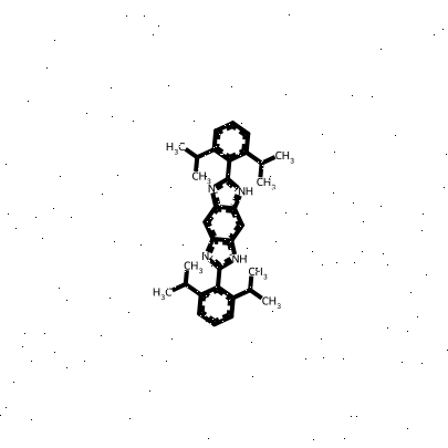 CC(C)c1cccc(C(C)C)c1-c1nc2cc3nc(-c4c(C(C)C)cccc4C(C)C)[nH]c3cc2[nH]1